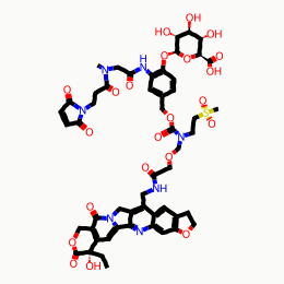 CC[C@@]1(O)C(=O)OCc2c1cc1n(c2=O)Cc2c-1nc1cc3c(cc1c2CNC(=O)COCN(CCS(C)(=O)=O)C(=O)OCc1ccc(O[C@@H]2O[C@H](C(=O)O)[C@@H](O)[C@H](O)[C@H]2O)c(NC(=O)CN(C)C(=O)CCN2C(=O)C=CC2=O)c1)CCO3